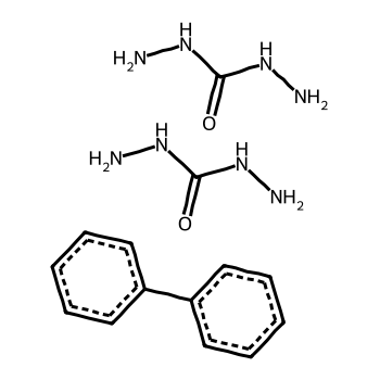 NNC(=O)NN.NNC(=O)NN.c1ccc(-c2ccccc2)cc1